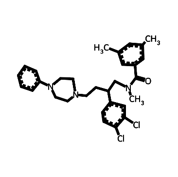 Cc1cc(C)cc(C(=O)N(C)CC(CCN2CCN(c3ccccc3)CC2)c2ccc(Cl)c(Cl)c2)c1